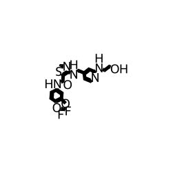 O=C(Nc1ccc2c(c1)OC(F)(F)O2)c1scnc1NCc1ccnc(NCCO)c1